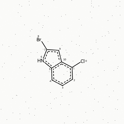 Clc1cccc2[nH]c(Br)cc12